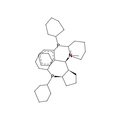 CN(C)[C@H](c1ccccc1P(C1CCCCC1)C1CCCCC1)[C@H]1CCC[C@H]1P(C1CCCCC1)C1CCCCC1